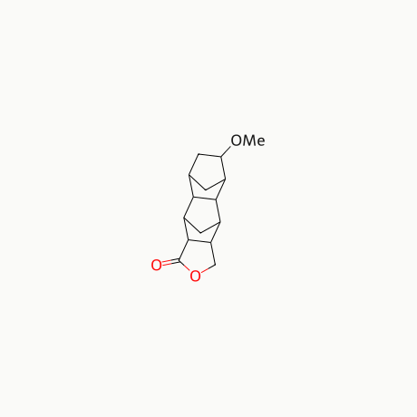 COC1CC2CC1C1C3CC(C4C(=O)OCC34)C21